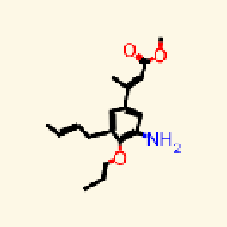 C/C=C/Cc1cc(/C(C)=C/C(=O)OC)cc(N)c1OCCC